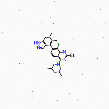 CCc1nc(N2CC(C)CC(C)C2)c2ccc(-c3c(C)c(C)cc4[nH]ncc34)c(F)c2n1